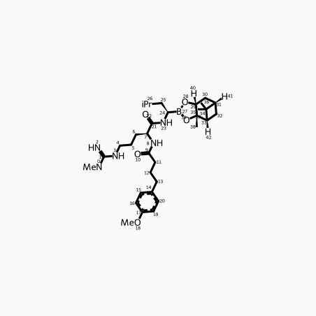 CNC(=N)NCCC[C@H](NC(=O)CCCc1ccc(OC)cc1)C(=O)N[C@@H](CC(C)C)B1O[C@@H]2C[C@@H]3C[C@@H](C3(C)C)[C@]2(C)O1